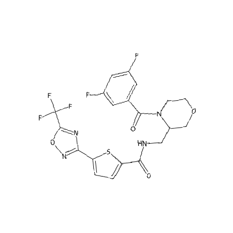 O=C(NCC1COCCN1C(=O)c1cc(F)cc(F)c1)c1ccc(-c2noc(C(F)(F)F)n2)s1